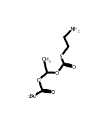 CC(OC(=O)SCCN)OC(=O)C(C)(C)C